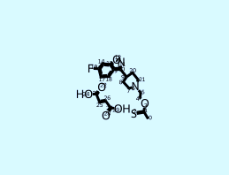 CC(=S)OCCN1CCC(c2noc3cc(F)ccc23)CC1.O=C(O)C=CC(=O)O